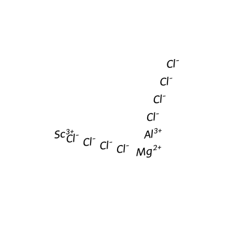 [Al+3].[Cl-].[Cl-].[Cl-].[Cl-].[Cl-].[Cl-].[Cl-].[Cl-].[Mg+2].[Sc+3]